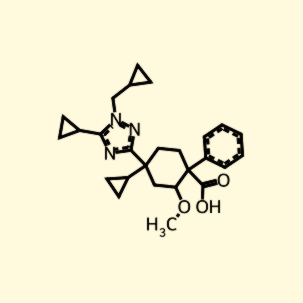 COC1CC(c2nc(C3CC3)n(CC3CC3)n2)(C2CC2)CCC1(C(=O)O)c1ccccc1